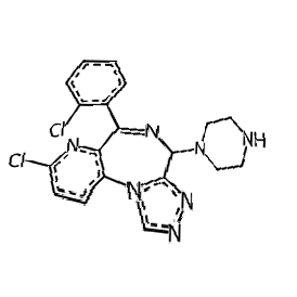 Clc1ccc2c(n1)C(c1ccccc1Cl)=NC(N1CCNCC1)c1nncn1-2